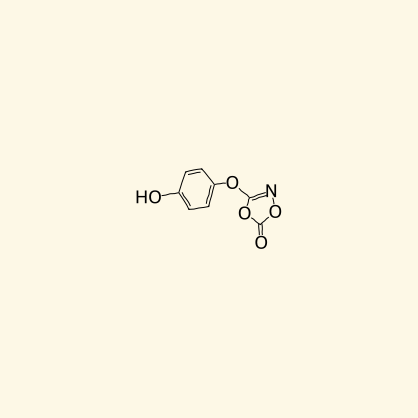 O=c1onc(Oc2ccc(O)cc2)o1